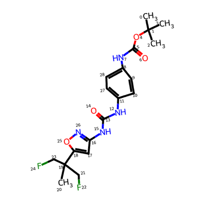 CC(C)(C)OC(=O)Nc1ccc(NC(=O)Nc2cc(C(C)(CF)CF)on2)cc1